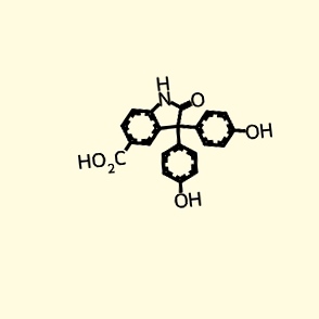 O=C(O)c1ccc2c(c1)C(c1ccc(O)cc1)(c1ccc(O)cc1)C(=O)N2